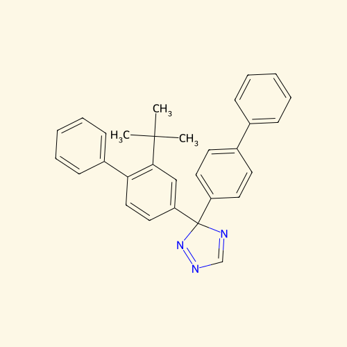 CC(C)(C)c1cc(C2(c3ccc(-c4ccccc4)cc3)N=CN=N2)ccc1-c1ccccc1